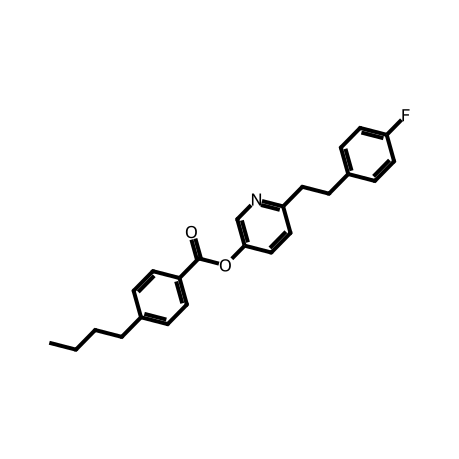 CCCCc1ccc(C(=O)Oc2ccc(CCc3ccc(F)cc3)nc2)cc1